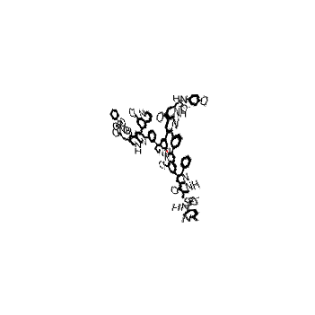 COc1ccc(N[S+]([O-])Cc2cc(=O)c3cc(-c4cc(Cl)c5nccc(-c6cccc(-c7nc8[nH]cc(CC(=O)NS(=O)(=O)c9ccccc9)c(=O)c8cc7-c7cc(Cl)c8ncccc8c7)c6)c5c4)c(-c4cccc(-c5cnc6c(Cl)cc(-c7cc8c(=O)c(C[S+]([O-])Nc9ccc(C)nc9)c[nH]c8nc7-c7ccccc7)cc6c5)c4)nc3[nH]2)cc1